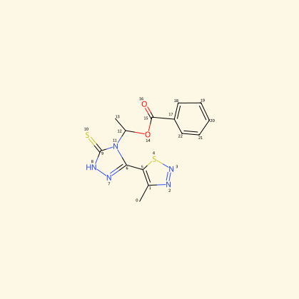 Cc1nnsc1-c1n[nH]c(=S)n1C(C)OC(=O)c1ccccc1